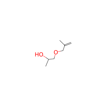 C=C(C)COCC(C)O